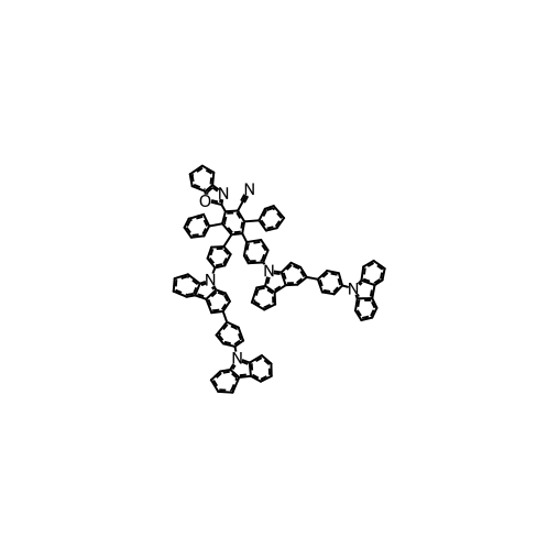 N#Cc1c(-c2ccccc2)c(-c2ccc(-n3c4ccccc4c4cc(-c5ccc(-n6c7ccccc7c7ccccc76)cc5)ccc43)cc2)c(-c2ccc(-n3c4ccccc4c4cc(-c5ccc(-n6c7ccccc7c7ccccc76)cc5)ccc43)cc2)c(-c2ccccc2)c1-c1nc2ccccc2o1